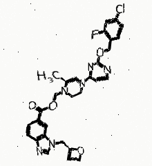 C[C@H]1CN(c2ccnc(OCc3ccc(Cl)cc3F)n2)CCN1COC(=O)c1ccc2ncn(C[C@@H]3CCO3)c2c1